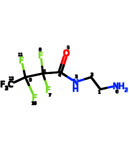 NCCNC(=O)C(F)(F)C(F)(F)C(F)(F)F